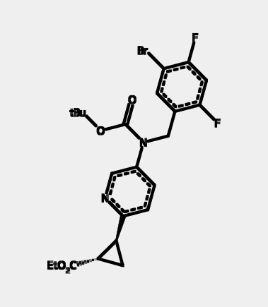 CCOC(=O)[C@H]1C[C@@H]1c1ccc(N(Cc2cc(Br)c(F)cc2F)C(=O)OC(C)(C)C)cn1